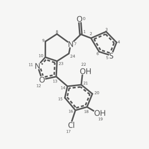 O=C(c1ccsc1)N1CCc2noc(-c3cc(Cl)c(O)cc3O)c2C1